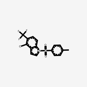 Cc1ccc(S(=O)(=O)n2ccc3c(Cl)c(C(F)(F)F)ccc32)cc1